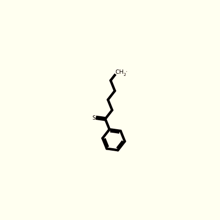 [CH2]CCCCC(=S)c1ccccc1